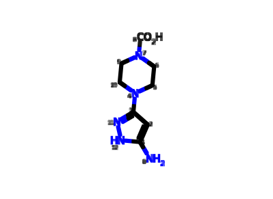 Nc1cc(N2CCN(C(=O)O)CC2)n[nH]1